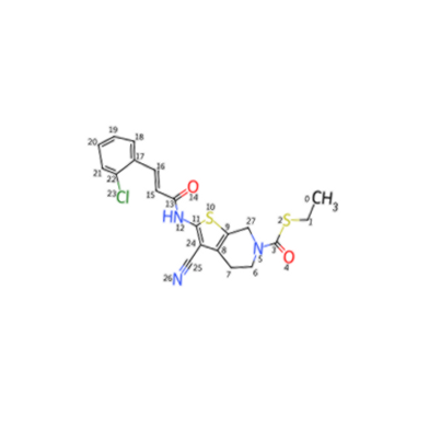 CCSC(=O)N1CCc2c(sc(NC(=O)/C=C/c3ccccc3Cl)c2C#N)C1